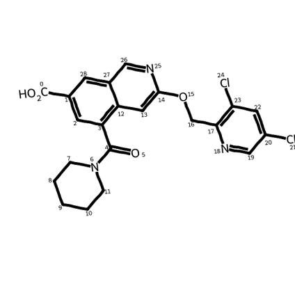 O=C(O)c1cc(C(=O)N2CCCCC2)c2cc(OCc3ncc(C(F)(F)F)cc3Cl)ncc2c1